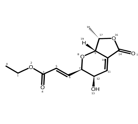 CCOC(=O)/C=C/[C@H]1O[C@H]2C(=C[C@H]1O)C(=O)O[C@H]2C